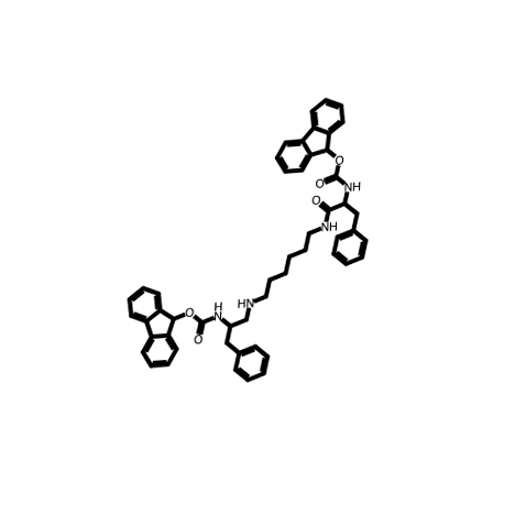 O=C(NC(CNCCCCCCNC(=O)C(Cc1ccccc1)NC(=O)OC1c2ccccc2-c2ccccc21)Cc1ccccc1)OC1c2ccccc2-c2ccccc21